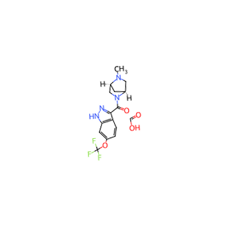 CN1C[C@@H]2C[C@H]1CN2C(=O)c1n[nH]c2cc(OC(F)(F)F)ccc12.O=CO